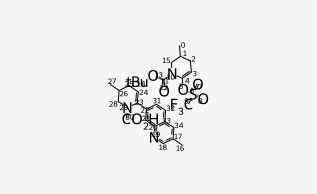 CC1CC=C(OS(=O)(=O)C(F)(F)F)N(C(=O)OC(C)(C)C)C1.Cc1cnc2cc(C3=CCC(C)CN3C(=O)O)ccc2c1